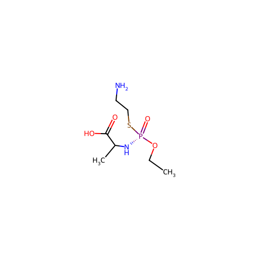 CCO[P@@](=O)(NC(C)C(=O)O)SCCN